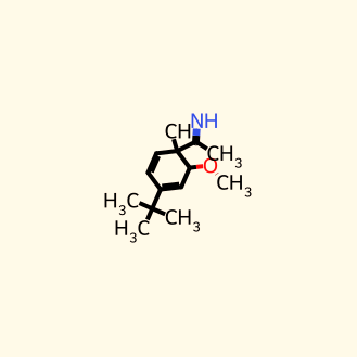 COC1C=C(C(C)(C)C)C=CC1(C)C(C)=N